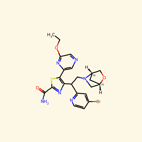 CCOc1cncc(-c2sc(C(N)=O)nc2C(CN2C[C@@H]3C[C@H]2CO3)c2cc(Br)ccn2)n1